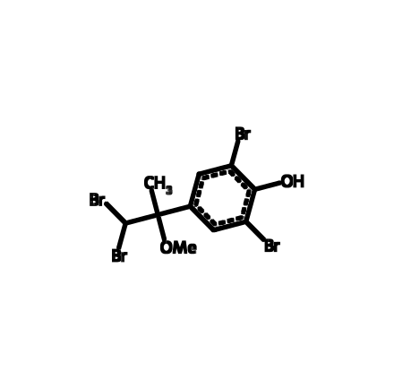 COC(C)(c1cc(Br)c(O)c(Br)c1)C(Br)Br